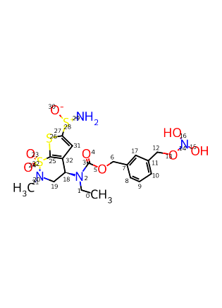 CCN(C(=O)OCc1cccc(CON(O)O)c1)[C@H]1CN(C)S(=O)(=O)c2sc([S+](N)[O-])cc21